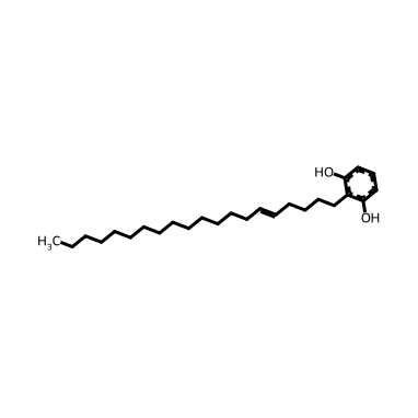 CCCCCCCCCCCCCCC=CCCCCc1c(O)cccc1O